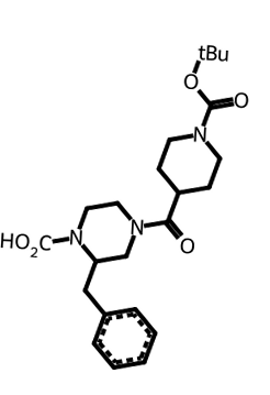 CC(C)(C)OC(=O)N1CCC(C(=O)N2CCN(C(=O)O)C(Cc3ccccc3)C2)CC1